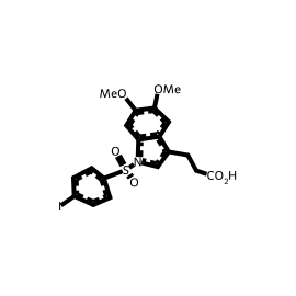 COc1cc2c(CCC(=O)O)cn(S(=O)(=O)c3ccc(I)cc3)c2cc1OC